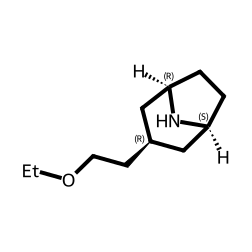 CCOCC[C@H]1C[C@H]2CC[C@@H](C1)N2